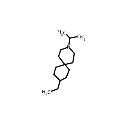 CCC1CCC2(CC1)CCN(C(C)C)CC2